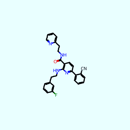 N#Cc1ccccc1-c1ccc(C(=O)NCCc2ccccn2)c(NCCc2cccc(F)c2)n1